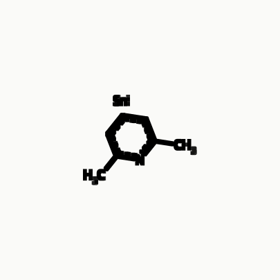 Cc1cccc(C)n1.[Sn]